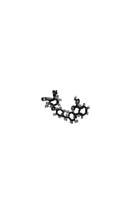 COC(=O)c1ccccc1N1CCC(CN2CCC(Oc3ccc(C#N)c(Cl)c3C)CC2)CC1